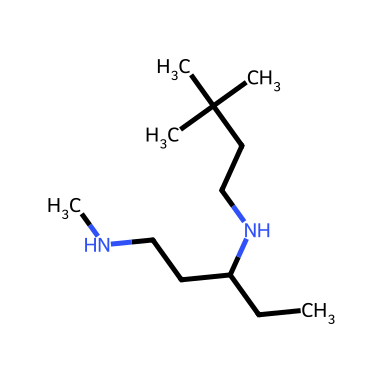 CCC(CCNC)NCCC(C)(C)C